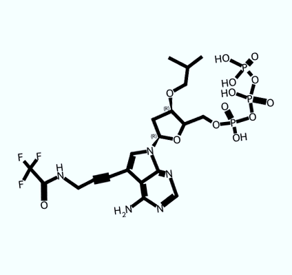 CC(C)CO[C@@H]1C[C@H](n2cc(C#CCNC(=O)C(F)(F)F)c3c(N)ncnc32)OC1COP(=O)(O)OP(=O)(O)OP(=O)(O)O